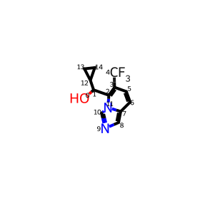 OC(c1c(C(F)(F)F)ccc2cncn12)C1CC1